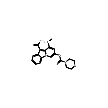 COc1cc(OC(=O)N2CCOCC2)cn2c1c(C(N)=O)c1ccccc12